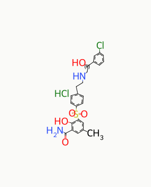 Cc1cc(C(N)=O)c(O)c(S(=O)(=O)c2ccc(CCNC[C@H](O)c3cccc(Cl)c3)cc2)c1.Cl